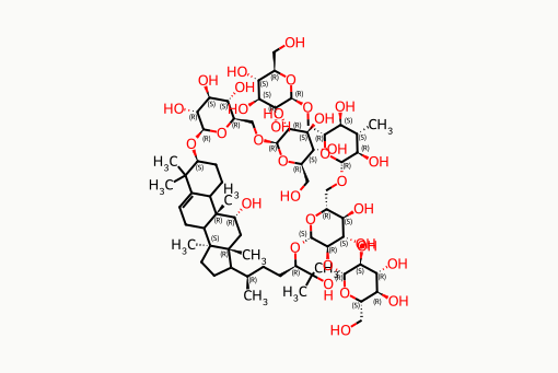 C[C@@H]1[C@@H](O)[C@H](OC[C@H]2O[C@@H](O[C@H](CC[C@@H](C)C3CC[C@@]4(C)C5CC=C6C(CC[C@H](O[C@@H]7O[C@H](CO[C@@H]8O[C@H](CO)[C@@H](O)[C@H](O)[C@H]8O)[C@@H](O)[C@H](O)[C@H]7O)C6(C)C)[C@]5(C)[C@H](O)C[C@]34C)C(C)(C)O)[C@H](O[C@H]3O[C@@H](CO)[C@H](O)[C@@H](O)[C@@H]3O)[C@@H](O)[C@@H]2O)O[C@H](CO[C@@H]2O[C@H](CO)[C@@H](O)[C@H](O)[C@H]2O)[C@H]1O